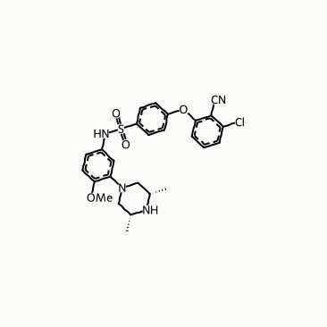 COc1ccc(NS(=O)(=O)c2ccc(Oc3cccc(Cl)c3C#N)cc2)cc1N1C[C@@H](C)N[C@@H](C)C1